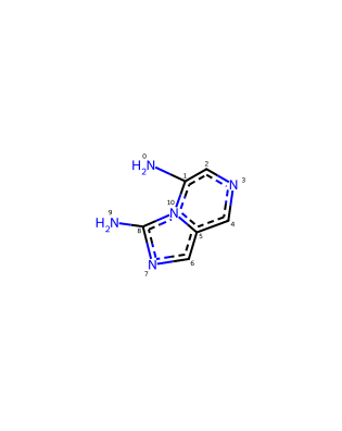 Nc1cncc2cnc(N)n12